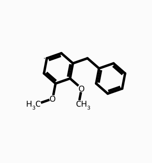 COc1c[c]cc(Cc2ccccc2)c1OC